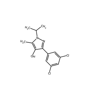 Cc1c(O)c(-c2cc(Cl)cc(Cl)c2)nn1C(C)C